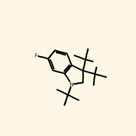 CC(C)(C)N1CC(C(C)(C)C)(C(C)(C)C)c2ccc(F)cc21